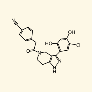 N#Cc1ccc(CC(=O)N2CCc3[nH]nc(-c4cc(Cl)c(O)cc4O)c3C2)cc1